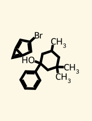 Brc1cc2cc-2c1.CC1CC(C)(C)CC(O)(c2ccccc2)C1